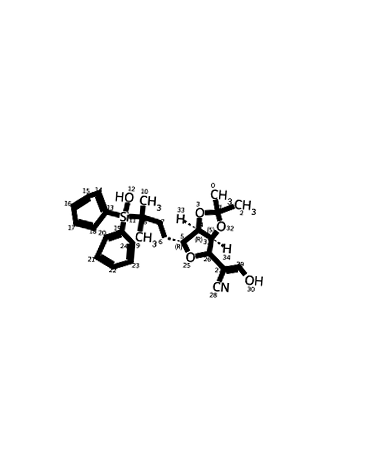 CC1(C)O[C@@H]2[C@@H](CCC(C)(C)[Si](O)(c3ccccc3)c3ccccc3)OC(C(C#N)=CO)[C@@H]2O1